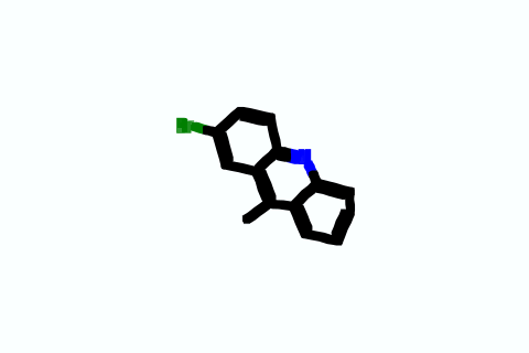 Cc1c2ccccc2nc2ccc(Br)cc12